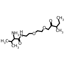 CCC(C)C(=O)COCCOCCNC(=O)C(N)C(C)C